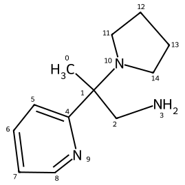 CC(CN)(c1ccccn1)N1CCCC1